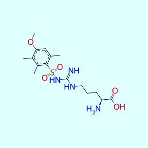 COc1cc(C)c(S(=O)(=O)NC(=N)NCCC[C@H](N)C(=O)O)c(C)c1C